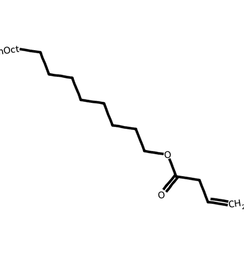 C=CCC(=O)OCCCCCCCCCCCCCCCC